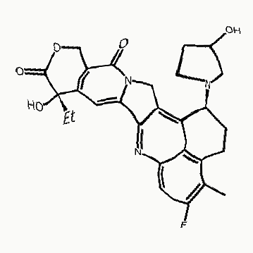 CC[C@@]1(O)C(=O)OCc2c1cc1n(c2=O)Cc2c-1nc1cc(F)c(C)c3c1c2[C@@H](N1CCC(O)C1)CC3